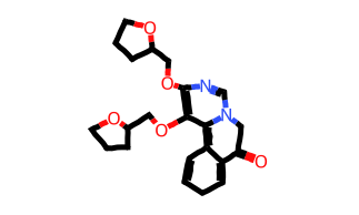 O=C1CN2C=NC(OCC3CCCO3)=C(OCC3CCCO3)C2=C2C=CCC=C12